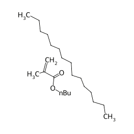 C=C(C)C(=O)OCCCC.CCCCCCCCCCCCCCC